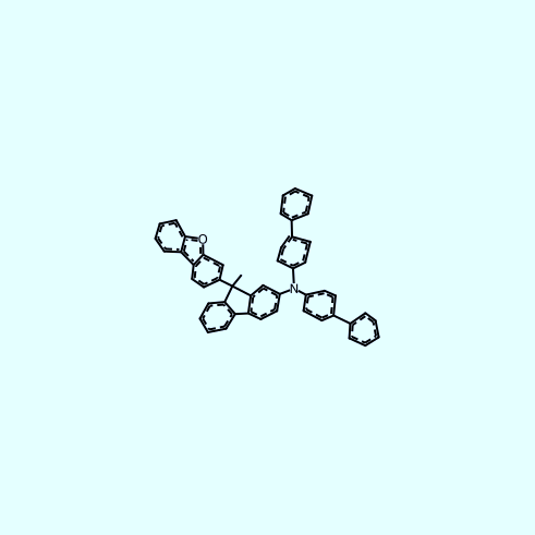 CC1(c2ccc3c(c2)oc2ccccc23)c2ccccc2-c2ccc(N(c3ccc(-c4ccccc4)cc3)c3ccc(-c4ccccc4)cc3)cc21